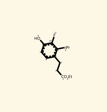 CCCc1c(CCC(=O)OCC)ccc(O)c1F